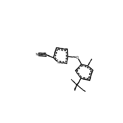 Cc1ccc(C(C)(C)C)cc1Oc1ccc(C#N)nc1